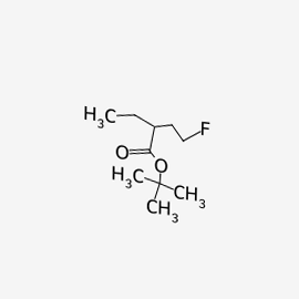 CCC(CCF)C(=O)OC(C)(C)C